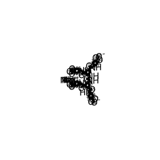 O=C(Nc1cc(C(=O)Nc2ccc(S(=O)(=O)[O-])cc2)cc(C(=O)Nc2ccc(S(=O)(=O)[O-])cc2)c1)Nc1cc(C(=O)Nc2ccc(S(=O)(=O)[O-])cc2)cc(C(=O)Nc2ccc(S(=O)(=O)[O-])cc2)c1.[Na+].[Na+].[Na+].[Na+]